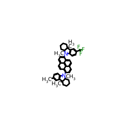 Cc1ccc2c(c1)C1(C)CCCCC1(C)N2c1ccc2ccc3c(N4c5ccc(C(F)(F)F)cc5C5(C)CCCCC45C)ccc4ccc1c2c43